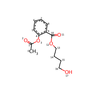 CC(=O)Oc1ccccc1C(=O)OCCCCO